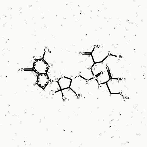 COC(=O)C(COC(C)(C)C)NP(=O)(NC(COC(C)(C)C)C(=O)OC)OC[C@H]1O[C@@H](n2cnc3c(=O)[nH]c(C)nc32)[C@@](C)(O)C1O